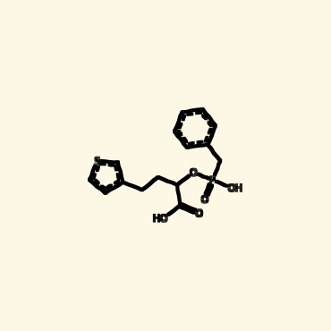 O=C(O)C(CCc1ccsc1)OP(=O)(O)Cc1ccccc1